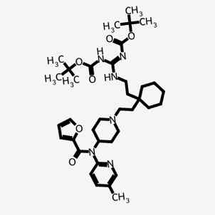 Cc1ccc(N(C(=O)c2ccco2)C2CCN(CCC3(CCNC(=NC(=O)OC(C)(C)C)NC(=O)OC(C)(C)C)CCCCC3)CC2)nc1